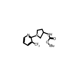 CC(C)(C)OC(=O)NC1CCN(c2ncccc2C(F)(F)F)C1